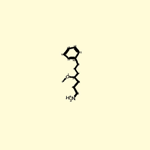 COC(CCCN)CCCc1ccccc1